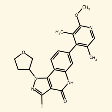 COc1ncc(C)c(-c2ccc3c(c2)[nH]c(=O)c2c(I)nn(C4CCOC4)c23)c1C